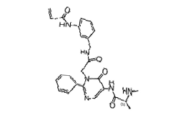 C=CC(=O)Nc1cccc(CNC(=O)Cn2c(-c3ccccc3)ncc(NC(=O)[C@H](C)NC)c2=O)c1